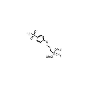 CO[Si](C)(CCCOc1ccc(S(=O)(=O)C(F)(F)F)cc1)OC